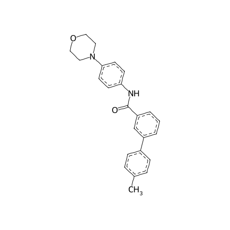 Cc1ccc(-c2cccc(C(=O)Nc3ccc(N4CCOCC4)cc3)c2)cc1